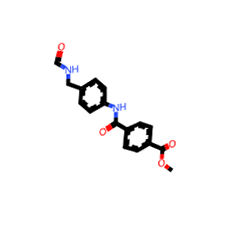 COC(=O)c1ccc(C(=O)Nc2ccc(CNC=O)cc2)cc1